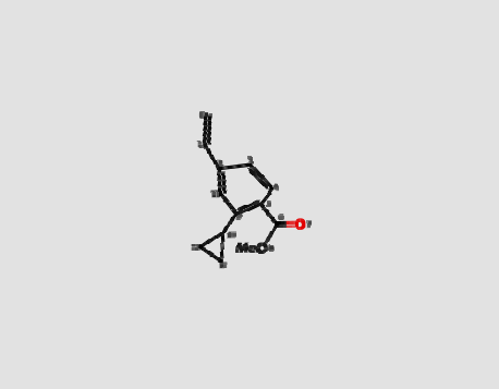 C=[C]c1ccc(C(=O)OC)c(C2CC2)c1